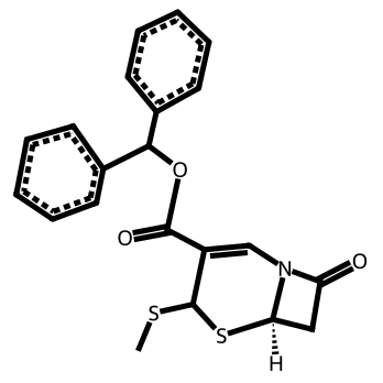 CSC1S[C@@H]2CC(=O)N2C=C1C(=O)OC(c1ccccc1)c1ccccc1